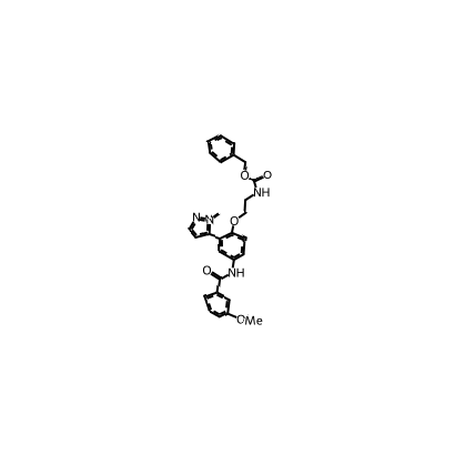 COc1cccc(C(=O)Nc2ccc(OCCNC(=O)OCc3ccccc3)c(-c3ccnn3C)c2)c1